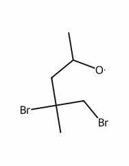 CC([O])CC(C)(Br)CBr